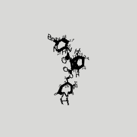 O=C(OC[C@@H]1CCNC[C@@H]1F)[C@H]1[C@H](C(=O)Nc2ccc(Br)nc2)[C@@H]2CC[C@H]1C21CC1